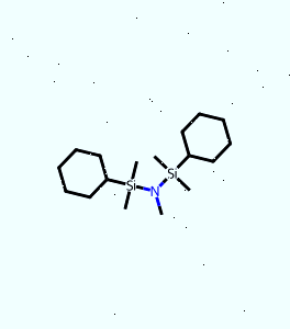 CN([Si](C)(C)C1CCCCC1)[Si](C)(C)C1CCCCC1